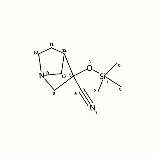 C[Si](C)(C)OC1(C#N)CN2CCC1C2